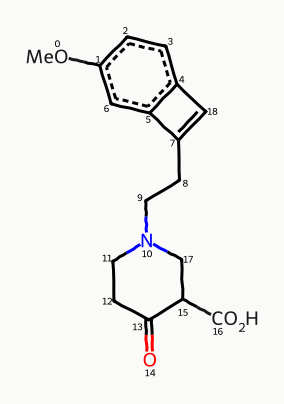 COc1ccc2c(c1)C(CCN1CCC(=O)C(C(=O)O)C1)=C2